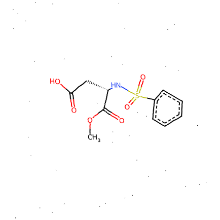 COC(=O)[C@H](CC(=O)O)NS(=O)(=O)c1ccccc1